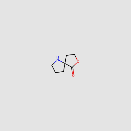 O=C1OCCC12CCCN2